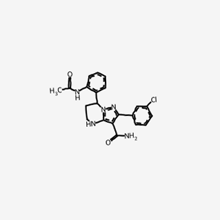 CC(=O)Nc1ccccc1C1CCNc2c(C(N)=O)c(-c3cccc(Cl)c3)nn21